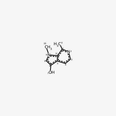 Cc1nccc2c(O)cn(C)c12